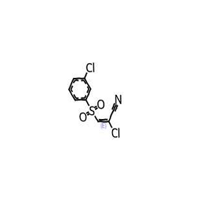 N#C/C(Cl)=C\S(=O)(=O)c1cccc(Cl)c1